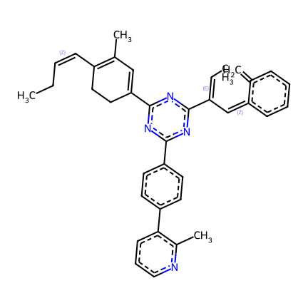 C=c1cccc/c1=C/C(=C\C)c1nc(C2=CC(C)=C(/C=C\CC)CC2)nc(-c2ccc(-c3cccnc3C)cc2)n1